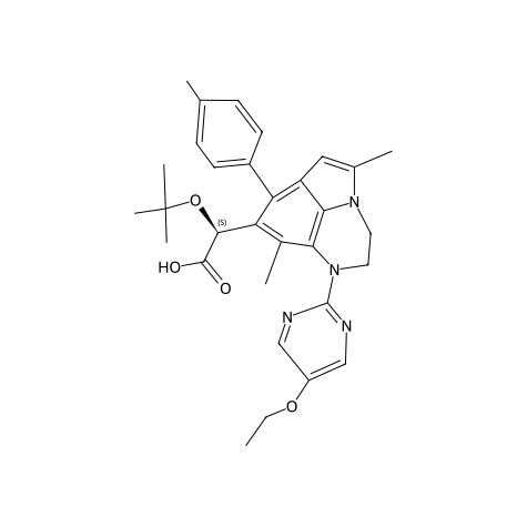 CCOc1cnc(N2CCn3c(C)cc4c(-c5ccc(C)cc5)c([C@H](OC(C)(C)C)C(=O)O)c(C)c2c43)nc1